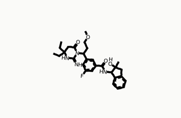 CCC1(CC)CC(=O)N(C(CCOC)c2cc(F)cc(C(=O)NC3c4ccccc4CC3(C)O)c2)C(=N)N1